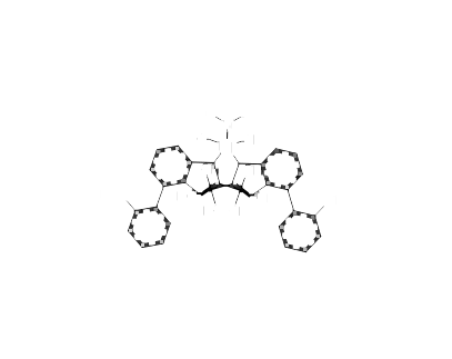 Cc1ccccc1-c1cccc2c1C=C(C(C)(C)C)[CH]2[Hf]([Cl])([Cl])([CH]1C(C(C)(C)C)=Cc2c(-c3ccccc3C)cccc21)[SiH](C)C